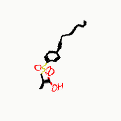 CCCCCC#Cc1ccc(S(=O)(=O)CC(C)C(=O)O)cc1